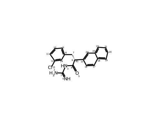 N=C(N)NC(=O)[C@H](Cc1cccc(Cl)c1)c1ccc2ccccc2c1